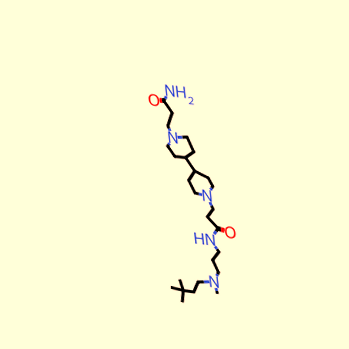 CN(CCCNC(=O)CCN1CCC(C2CCN(CCC(N)=O)CC2)CC1)CCC(C)(C)C